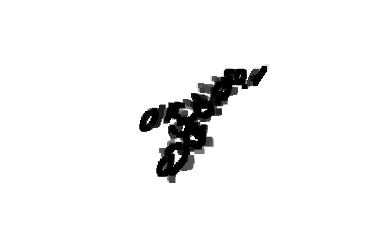 O=Cc1nc2c(N3CCOCC3)ccnn2c1-c1ccc(N2CCN(C(=O)O)CC2)nc1